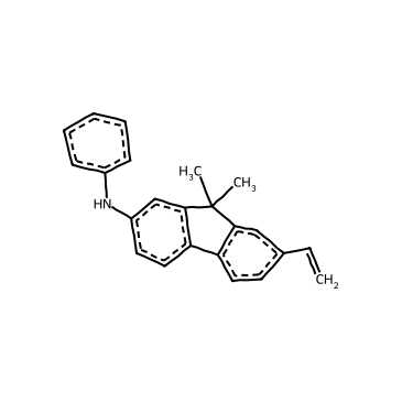 C=Cc1ccc2c(c1)C(C)(C)c1cc(Nc3ccccc3)ccc1-2